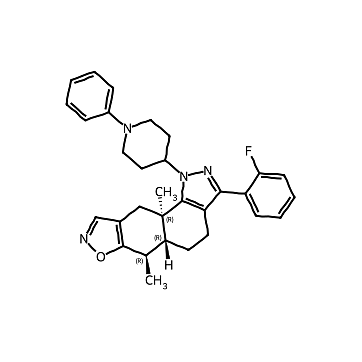 C[C@H]1c2oncc2C[C@@]2(C)c3c(c(-c4ccccc4F)nn3C3CCN(c4ccccc4)CC3)CC[C@H]12